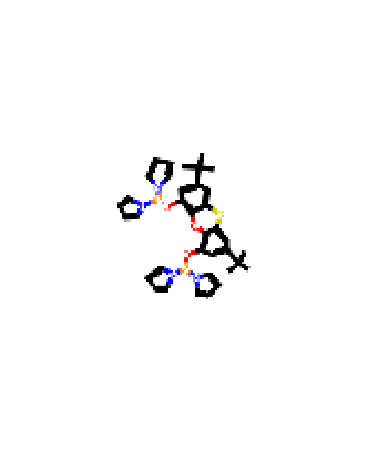 CC(C)(C)c1cc(OP(n2cccc2)n2cccc2)c2c(c1)Sc1cc(C(C)(C)C)cc(OP(n3cccc3)n3cccc3)c1O2